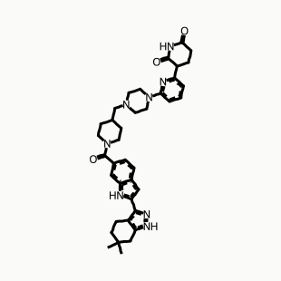 CC1(C)CCc2c(-c3cc4ccc(C(=O)N5CCC(CN6CCN(c7cccc(C8CCC(=O)NC8=O)n7)CC6)CC5)cc4[nH]3)n[nH]c2C1